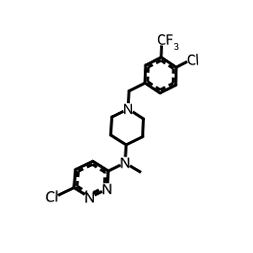 CN(c1ccc(Cl)nn1)C1CCN(Cc2ccc(Cl)c(C(F)(F)F)c2)CC1